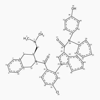 CN(C)C[C@@H]1Cc2ccccc2CN1C(=O)c1ccc(Cl)cc1-n1cc(C(=O)N(c2ccccc2)c2ccc(O)cc2)c2ccccc21